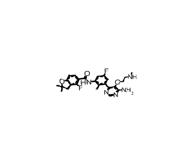 CNCCOc1c(N)ncnc1-c1cc(F)cc(NC(=O)c2ccc3c(c2F)CC(C)(C)O3)c1C